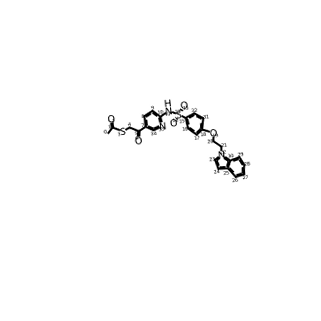 CC(=O)SCC(=O)c1ccc(NS(=O)(=O)c2ccc(OCCn3ccc4ccccc43)cc2)nc1